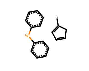 [Li][C]1=CC=CC1.c1ccc(Pc2ccccc2)cc1